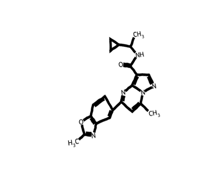 Cc1nc2cc(-c3cc(C)n4ncc(C(=O)NC(C)C5CC5)c4n3)ccc2o1